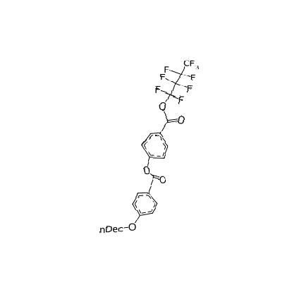 CCCCCCCCCCOc1ccc(C(=O)Oc2ccc(C(=O)OC(F)(F)C(F)(F)C(F)(F)C(F)(F)F)cc2)cc1